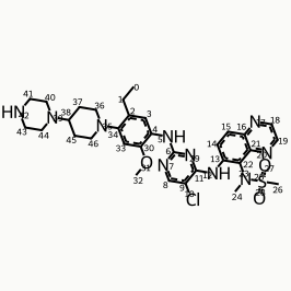 CCc1cc(Nc2ncc(Cl)c(Nc3ccc4nccnc4c3N(C)S(C)(=O)=O)n2)c(OC)cc1N1CCC(N2CCNCC2)CC1